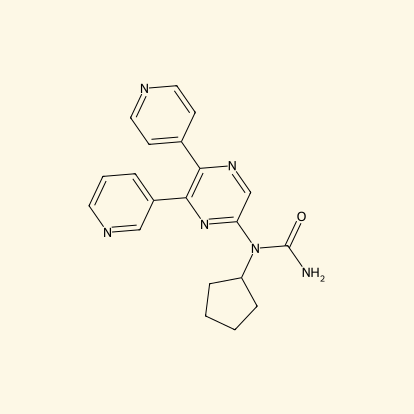 NC(=O)N(c1cnc(-c2ccncc2)c(-c2cccnc2)n1)C1CCCC1